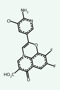 Nc1ncc(C2=Cn3cc(C(=O)O)c(=O)c4cc(F)c(F)c(c43)O2)cc1Cl